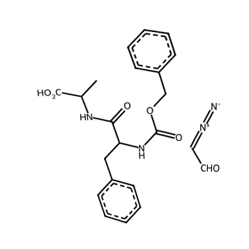 CC(NC(=O)C(Cc1ccccc1)NC(=O)OCc1ccccc1)C(=O)O.[N-]=[N+]=CC=O